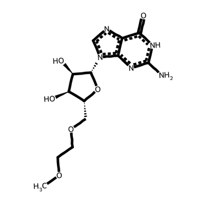 COCCOC[C@H]1O[C@@H](n2cnc3c(=O)[nH]c(N)nc32)[C@H](O)[C@@H]1O